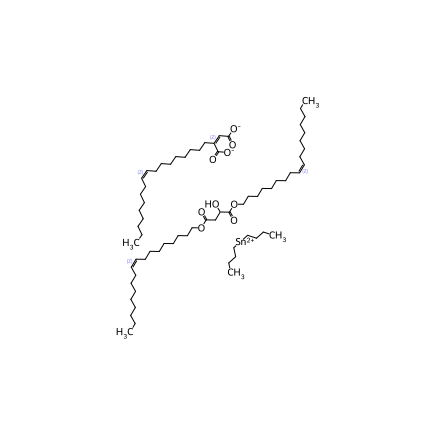 CCCCCCCC/C=C\CCCCCCCC/C(=C/C(=O)[O-])C(=O)[O-].CCCCCCCC/C=C\CCCCCCCCOC(=O)CC(O)C(=O)OCCCCCCCC/C=C\CCCCCCCC.CCC[CH2][Sn+2][CH2]CCC